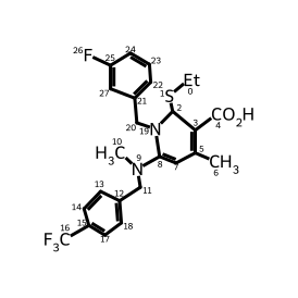 CCSC1C(C(=O)O)=C(C)C=C(N(C)Cc2ccc(C(F)(F)F)cc2)N1Cc1cccc(F)c1